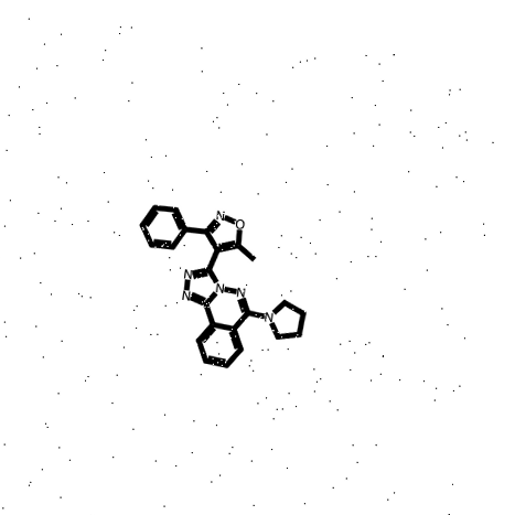 Cc1onc(-c2ccccc2)c1-c1nnc2c3ccccc3c(N3CCCC3)nn12